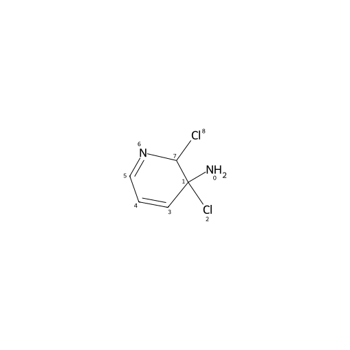 NC1(Cl)C=CC=NC1Cl